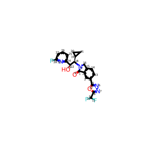 O=C1c2cc(-c3nnc(C(F)F)o3)ccc2CN1[C@H](C1CC1)[C@@H](O)c1cccc(F)n1